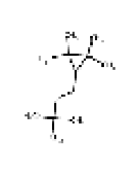 CC(C)(C)OCC1C(C)(C)C1(C)C